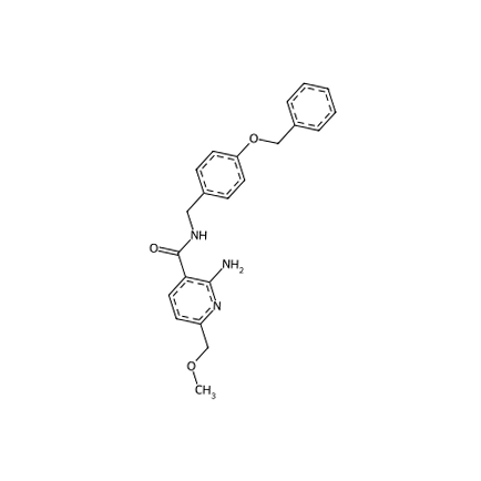 COCc1ccc(C(=O)NCc2ccc(OCc3ccccc3)cc2)c(N)n1